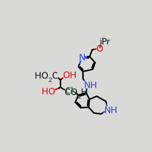 CC(C)OCc1ccc(CNc2c(Cl)ccc3c2CCNCC3)cn1.O=C(O)C(O)C(O)C(=O)O